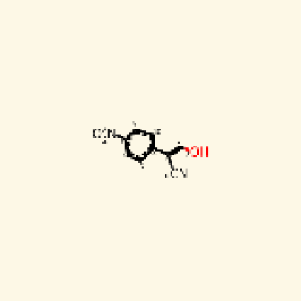 N#C/C(=C\O)c1ccc([N+](=O)[O-])cc1